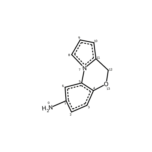 Nc1ccc2c(c1)-n1cccc1CO2